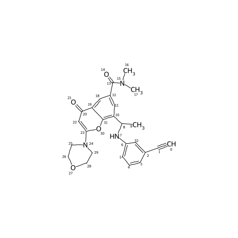 C#Cc1cccc(NC(C)c2cc(C(=O)N(C)C)cc3c(=O)cc(N4CCOCC4)oc23)c1